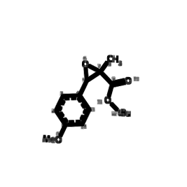 COc1ccc(C2OC2(C)C(=O)OC(C)(C)C)cc1